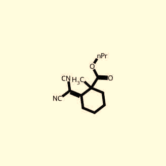 CCCOC(=O)C1(C)CCCCC1=C(C#N)C#N